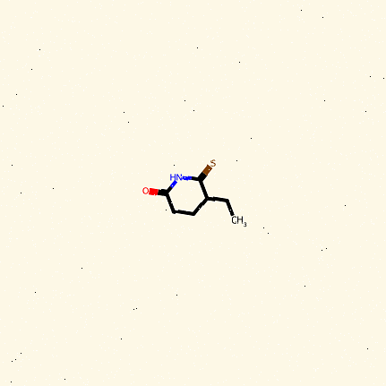 CCC1CCC(=O)NC1=S